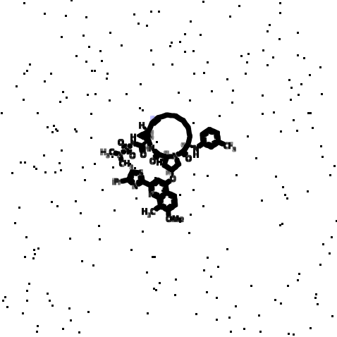 COc1ccc2c(O[C@@H]3C[C@H]4C(=O)N[C@]5(C(=O)NS(=O)(=O)N(C)C)C[C@H]5/C=C\CCCCC[C@H](Nc5cccc(C(F)(F)F)c5)C(=O)N4C3)cc(-c3nc(C(C)C)cs3)nc2c1C